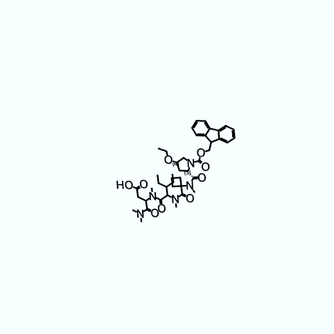 CCO[C@@H]1C[C@@H](C(=O)N(C)C2(C(=O)N(C)C(C(=O)N(C)C(CC(=O)O)C(=O)N(C)C)C(CC)CC)CCC2)N(C(=O)OCC2c3ccccc3-c3ccccc32)C1